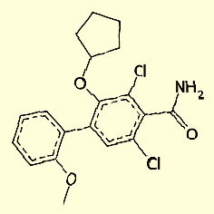 COc1ccccc1-c1cc(Cl)c(C(N)=O)c(Cl)c1OC1CCCC1